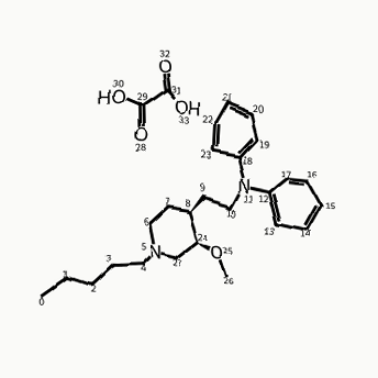 CCCCCN1CC[C@@H](CCN(c2ccccc2)c2ccccc2)[C@@H](OC)C1.O=C(O)C(=O)O